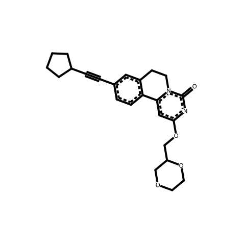 O=c1nc(OCC2COCCO2)cc2n1CCc1cc(C#CC3CCCC3)ccc1-2